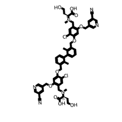 Cc1c(COc2cc(OCc3cncc(C#N)c3)c(CN(C)[C@@H](CCO)C(=O)O)cc2Cl)cccc1-c1cccc(COc2cc(OCc3cncc(C#N)c3)c(CN(C)[C@@H](CCO)C(=O)O)cc2Cl)c1C